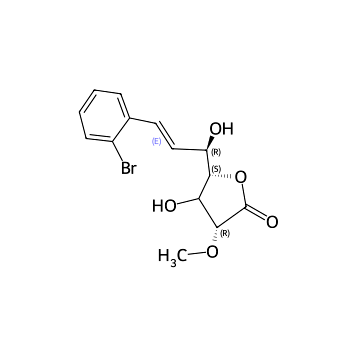 CO[C@H]1C(=O)O[C@@H]([C@H](O)/C=C/c2ccccc2Br)C1O